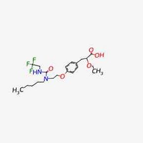 CCCCCN(CCOc1ccc(CC(OCC)C(=O)O)cc1)C(=O)NCC(F)(F)F